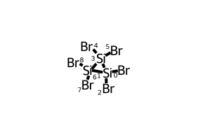 Br[Si]1(Br)[Si](Br)(Br)[Si]1(Br)Br